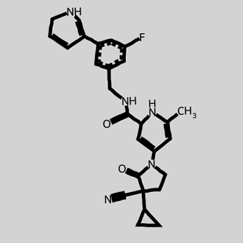 CC1=CC(N2CCC(C#N)(C3CC3)C2=O)=CC(C(=O)NCc2cc(F)cc(C3=CNCC=C3)c2)N1